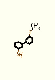 CCSc1cccc(-c2cccc(S)c2)c1